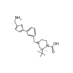 CC(C)(C)[C@@]1(C)CN(Cc2cccc(-c3ccc(CN)s3)c2)CCN1C(=O)O